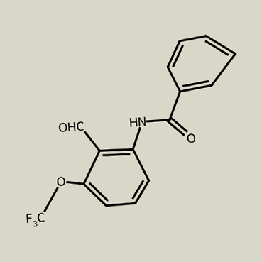 O=Cc1c(NC(=O)c2ccccc2)cccc1OC(F)(F)F